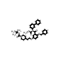 COC(=O)N(C(=O)c1cc(OCCC2CCN(C(=O)OC(C)(C)C)CC2)ccc1OCc1ccccc1)c1cccc(-c2ccccc2)c1